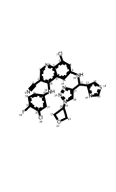 N#Cc1cnc2c(Cl)cc(NC(c3cscn3)c3cn(C4COC4)nn3)cc2c1Nc1ccc(F)c(Cl)c1